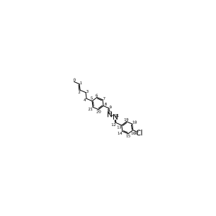 CC=CCCc1ccc(C=NN=Cc2ccc(Cl)cc2)cc1